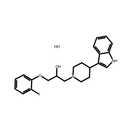 Cl.OC(COc1ccccc1F)CN1CCC(c2c[nH]c3ccccc23)CC1